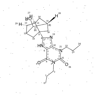 CCCn1c(=O)c2[nH]c(C34CC5C[C@H]3C[C@H](C4)[C@@H]5O)nc2n(CCC)c1=O